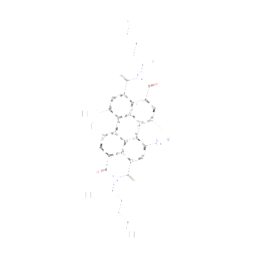 [C-]#[N+]c1cc2c3c(cc(F)c4c5c(C)cc6c7c(cc(F)c(c1c34)c75)C(=O)N([C@@H](C)CCCC)C6=S)C(=O)N([C@@H](C)CCCC)C2=S